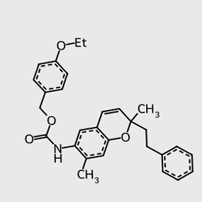 CCOc1ccc(COC(=O)Nc2cc3c(cc2C)OC(C)(CCc2ccccc2)C=C3)cc1